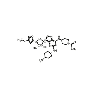 CCc1cc([C@H]2O[C@@H](n3cnc4c(NC5CCN(C(C)=O)CC5)nc(N[C@H]5CC[C@H](N)CC5)nc43)[C@H](O)[C@@H]2O)on1